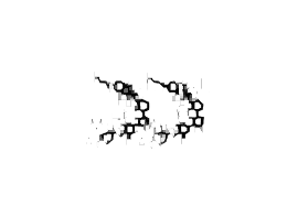 COc1cc(-c2nccc(-c3cccc(NC(=O)c4nc5c(n4C)CCN(CCCF)C5)c3Cl)c2Cl)cc(F)c1CNC1CCN(C(C)=O)CC1.COc1cc(-c2nccc(-c3cccc(NC(=O)c4nc5c(n4C)CCN(CCCF)C5)c3Cl)c2Cl)cc(F)c1CNC1CCN(C(C)=O)CC1